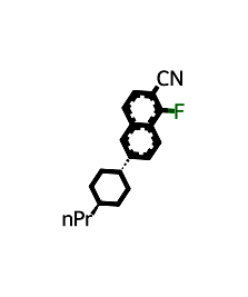 CCC[C@H]1CC[C@H](c2ccc3c(F)c(C#N)ccc3c2)CC1